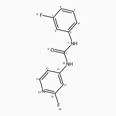 O=C(Nc1cccc(F)c1)Nc1ccnc(F)c1